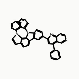 c1ccc(-c2cc(-c3ccc4c(c3)c3ccc5ccn(-c6ccccc6)c5c3n4-c3ccccc3)nc3ccncc23)cc1